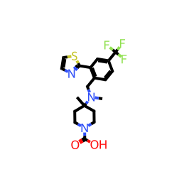 CN(Cc1ccc(C(F)(F)F)cc1-c1nccs1)C1(C)CCN(C(=O)O)CC1